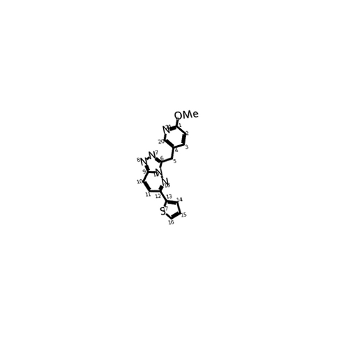 COc1ccc(Cc2nnc3ccc(-c4cccs4)nn23)cn1